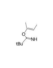 CC=C(C)OC(=N)C(C)(C)C